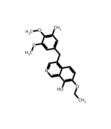 CCOc1ccc2c(Cc3cc(C)c(OC)c(OC)c3)cncc2c1O